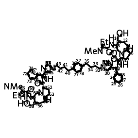 CC[C@H](NC)C(=O)N[C@@H]1C(=O)N2[C@@H](CC[C@@H]1CO)CC[C@H]2C(=O)N[C@@H](c1ccccc1)c1cn(CCCCc2ccc(CCCCn3cc([C@@H](NC(=O)[C@@H]4CC[C@@H]5CC[C@H](CO)[C@H](NC(=O)[C@H](CC)NC)CN54)c4ccccc4)nn3)cc2)nn1